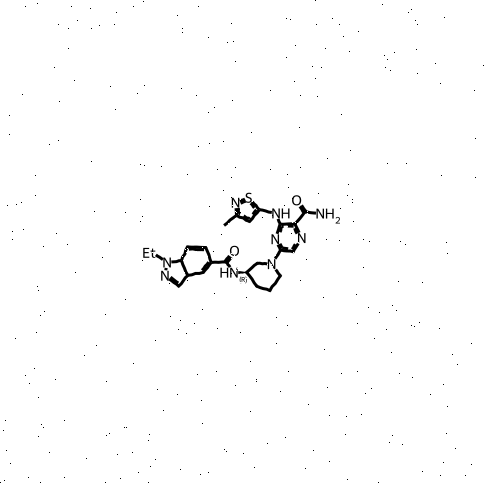 CCN1N=CC2C=C(C(=O)N[C@@H]3CCCN(c4cnc(C(N)=O)c(Nc5cc(C)ns5)n4)C3)C=CC21